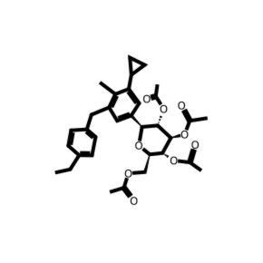 CCc1ccc(Cc2cc([C@@H]3O[C@H](COC(C)=O)[C@@H](OC(C)=O)[C@H](OC(C)=O)[C@H]3OC(C)=O)cc(C3CC3)c2C)cc1